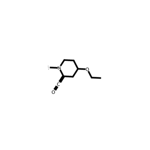 [C]N1CCC(OCC)CC1=C=O